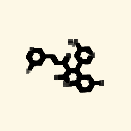 Cc1cncc(-c2c(C(=O)/C=C/c3cncc(F)c3)c(=O)[nH]c3ccc(Cl)cc23)c1